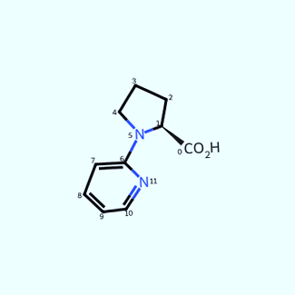 O=C(O)[C@@H]1CCCN1c1ccccn1